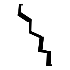 [CH]=C/C=C/C/C=C/[CH2]